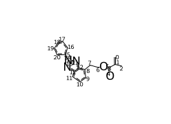 C=C(C)C(=O)OCCc1cccc2nn(-c3ccccc3)nc12